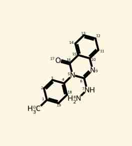 Cc1ccc(-n2c(NN)nc3ccccc3c2=O)cc1